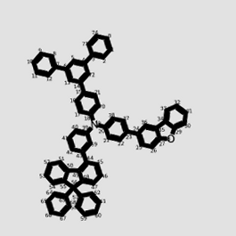 c1ccc(-c2cc(-c3ccccc3)cc(-c3ccc(N(c4ccc(-c5ccc6oc7ccccc7c6c5)cc4)c4cccc(-c5cccc6c5-c5ccccc5C6(c5ccccc5)c5ccccc5)c4)cc3)c2)cc1